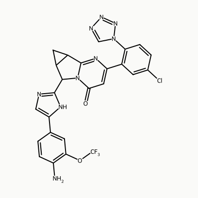 Nc1ccc(-c2cnc(C3C4CC4c4nc(-c5cc(Cl)ccc5-n5cnnn5)cc(=O)n43)[nH]2)cc1OC(F)(F)F